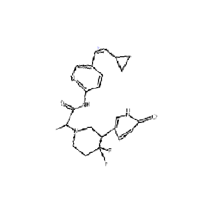 CC(C(=O)Nc1ccc(/C=C\C2CC2)cn1)N1CCC(F)(F)C(c2ccc(=O)[nH]c2)C1